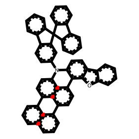 c1ccc(-c2ccc(-c3c(N(c4ccc(-c5ccccc5)cc4)c4ccc5c(c4)C4(c6ccccc6-c6ccccc64)c4ccccc4-5)ccc4c3oc3ccccc34)cc2)cc1